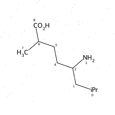 CC(C)CC(N)CCC(C)C(=O)O